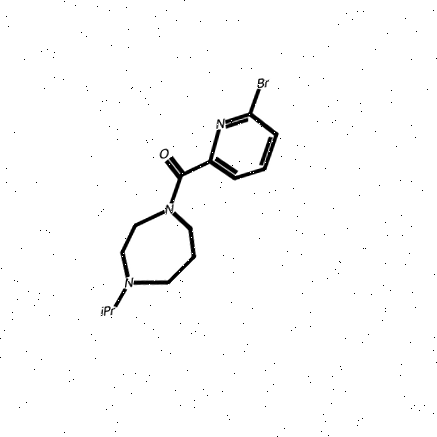 CC(C)N1CCCN(C(=O)c2cccc(Br)n2)CC1